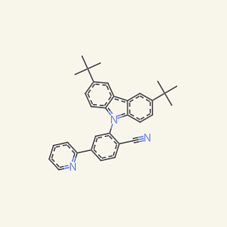 CC(C)(C)c1ccc2c(c1)c1cc(C(C)(C)C)ccc1n2-c1cc(-c2ccccn2)ccc1C#N